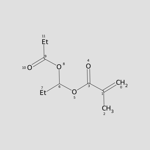 C=C(C)C(=O)OC(CC)OC(=O)CC